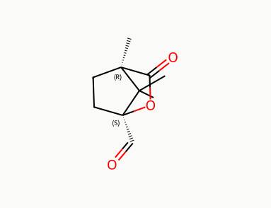 CC1(C)[C@@]2(C)CC[C@]1(C=O)OC2=O